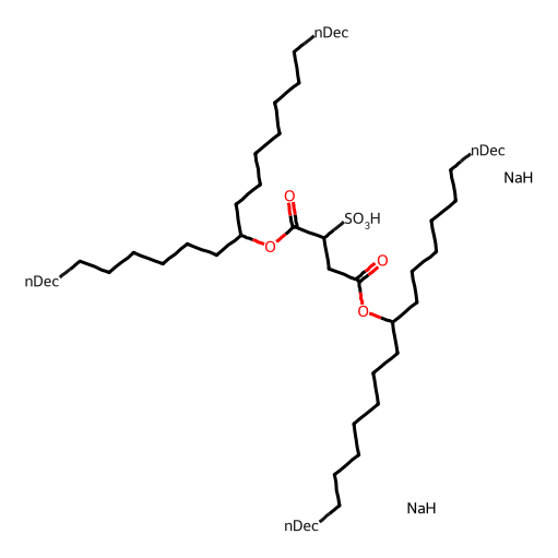 CCCCCCCCCCCCCCCCCC(CCCCCCCCCCCCCCCC)OC(=O)CC(C(=O)OC(CCCCCCCCCCCCCCCC)CCCCCCCCCCCCCCCCC)S(=O)(=O)O.[NaH].[NaH]